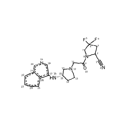 N#CC1CC(F)(F)CN1C(=O)CN1CC[C@H](Nc2cncc3ccccc23)C1